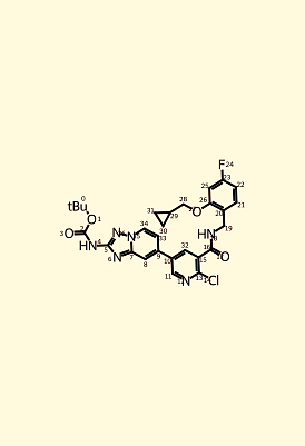 CC(C)(C)OC(=O)Nc1nc2cc(-c3cnc(Cl)c(C(=O)NCc4ccc(F)cc4OCC4CC4)c3)ccn2n1